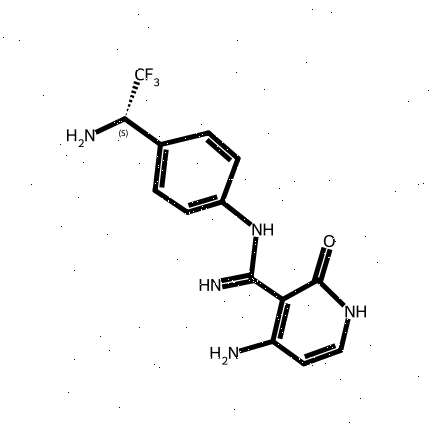 N=C(Nc1ccc([C@H](N)C(F)(F)F)cc1)c1c(N)cc[nH]c1=O